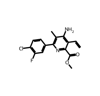 C=Cc1c(C(=O)OC)nc(-c2ccc(Cl)c(F)c2)c(C)c1N